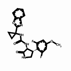 COc1cc(F)c([C@@H]2CNC(=O)[C@H]2NC(=O)NC2(c3nc4ccccc4o3)CC2)c(F)c1